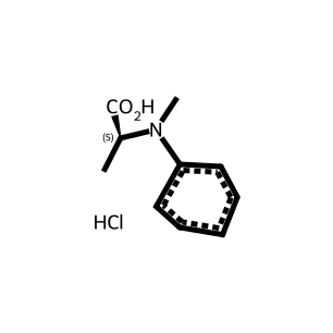 C[C@@H](C(=O)O)N(C)c1ccccc1.Cl